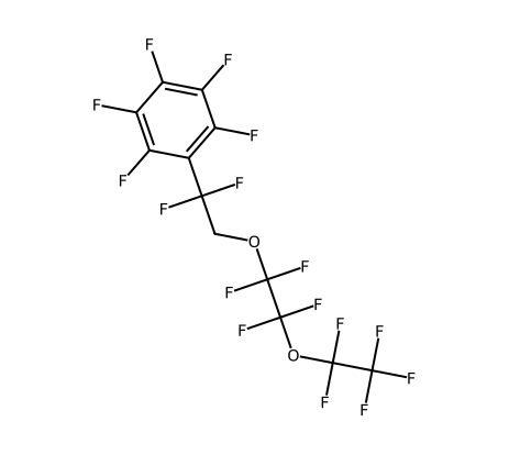 Fc1c(F)c(F)c(C(F)(F)COC(F)(F)C(F)(F)OC(F)(F)C(F)(F)F)c(F)c1F